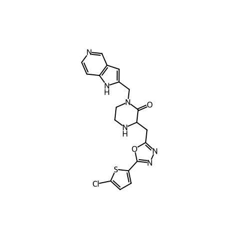 O=C1C(Cc2nnc(-c3ccc(Cl)s3)o2)NCCN1Cc1cc2cnccc2[nH]1